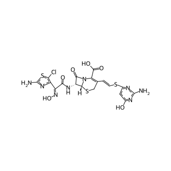 Nc1nc(O)cc(SC=CC2=C(C(=O)O)N3C(=O)[C@@H](NC(=O)C(=NO)c4nc(N)sc4Cl)[C@H]3SC2)n1